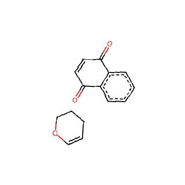 C1=COCCC1.O=C1C=CC(=O)c2ccccc21